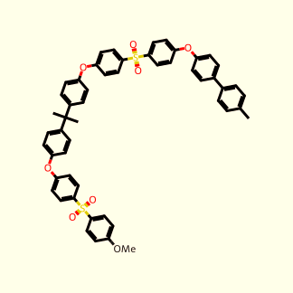 COc1ccc(S(=O)(=O)c2ccc(Oc3ccc(C(C)(C)c4ccc(Oc5ccc(S(=O)(=O)c6ccc(Oc7ccc(-c8ccc(C)cc8)cc7)cc6)cc5)cc4)cc3)cc2)cc1